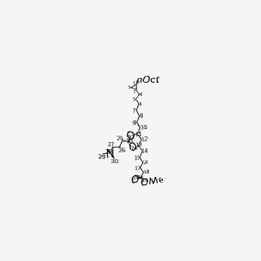 CCCCCCCCC1CC1CCCCCCCC(CCCCCCCC(=O)OC)OC(=O)CCCN(C)C